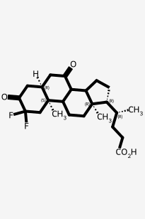 C[C@H](CCC(=O)O)[C@H]1CCC2C3C(=O)C[C@@H]4CC(=O)C(F)(F)C[C@]4(C)C3CC[C@@]21C